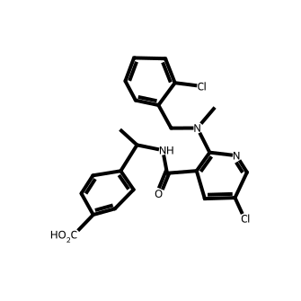 CC(NC(=O)c1cc(Cl)cnc1N(C)Cc1ccccc1Cl)c1ccc(C(=O)O)cc1